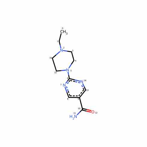 CCN1CCN(c2ncc(C(N)=O)cn2)CC1